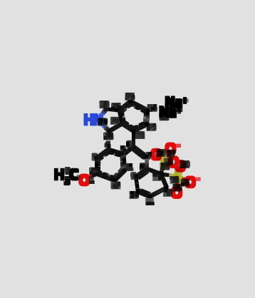 COc1ccc(C(=CC2=CC=CCC2(S(=O)(=O)[O-])S(=O)(=O)[O-])c2cccc3c2CNC3)cc1.[Na+].[Na+]